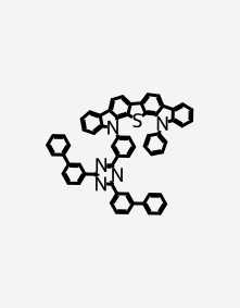 c1ccc(-c2cccc(-c3nc(-c4cccc(-c5ccccc5)c4)nc(-c4cccc(-n5c6ccccc6c6ccc7c8ccc9c%10ccccc%10n(-c%10ccccc%10)c9c8sc7c65)c4)n3)c2)cc1